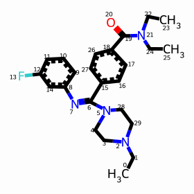 CCN1CCN(C(=Nc2cccc(F)c2)c2ccc(C(=O)N(CC)CC)cc2)CC1